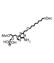 CCCCCCCCCCCCCCCCCCOCCc1nc(N)c2ncn(CC(COC)OCP(=O)(O)O)c2n1